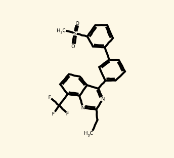 CCc1nc(-c2cccc(-c3cccc(S(C)(=O)=O)c3)c2)c2cccc(C(F)(F)F)c2n1